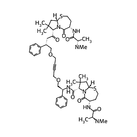 CN[C@@H](C)C(=O)N[C@H]1CCS[C@H]2CC(C)(C)[C@@H](C(=O)C[C@H](COCC#CCOC[C@@H](NC(=O)[C@H]3N4C(=O)[C@@H](NC(=O)[C@H](C)NC)CCS[C@H]4CC3(C)C)c3ccccc3)c3ccccc3)N2C1=O